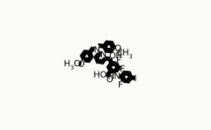 COc1ccc(CN(Cc2ccc(OC)cc2)c2cccc(C(O)c3cc(C(=O)O)c(Nc4ccc(I)cc4F)c(F)c3F)n2)cc1